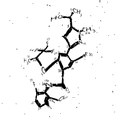 C[C@H](O)c1cc(-c2cc(O[C@@H](C)C(F)(F)F)c(C(=O)Nc3c(F)cccc3Cl)cc2F)nn1C